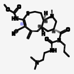 C=C1C[C@H]2C[C@@H](C(=O)N(CCC)C(=O)NCCN(C)C)CN(C)[C@@H]2CCS/C(NC(=O)OC)=C\1C#N